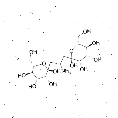 NC(C[C@@]1(O)O[C@@H](CO)[C@H](O)[C@@H](O)[C@H]1O)C[C@]1(O)O[C@H](CO)[C@@H](O)[C@H](O)[C@@H]1O